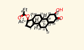 CCC(=O)O[C@]1(C(C)=O)CC[C@H]2[C@@H]3C[C@H](C)C4=CC(=O)C(O)C[C@]4(C)[C@H]3CC[C@@]21C